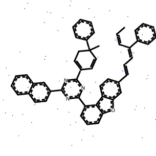 C\C=C/C(=C\C=C\c1ccc2c(c1)oc1cccc(-c3nc(C4=CCC(C)(c5ccccc5)C=C4)nc(-c4ccc5ccccc5c4)n3)c12)c1ccccc1